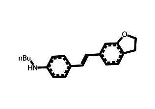 CCCCNc1ccc(/C=C/c2ccc3c(c2)OCC3)cc1